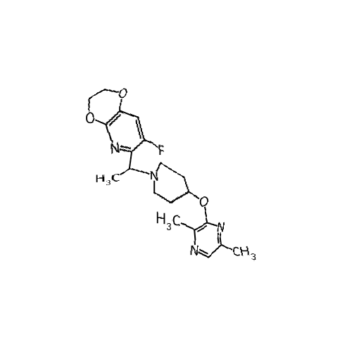 Cc1cnc(C)c(OC2CCN(C(C)c3nc4c(cc3F)OCCO4)CC2)n1